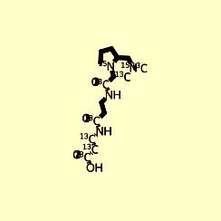 [13CH3][15N]([13CH3])CC1CCC[15N]1C[13C](=O)NCC[13C](=O)N[13CH2][13CH2][13C](=O)O